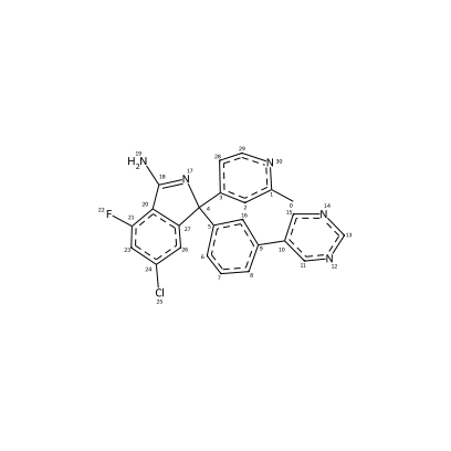 Cc1cc(C2(c3cccc(-c4cncnc4)c3)N=C(N)c3c(F)cc(Cl)cc32)ccn1